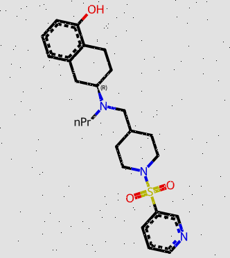 CCCN(CC1CCN(S(=O)(=O)c2cccnc2)CC1)[C@@H]1CCc2c(O)cccc2C1